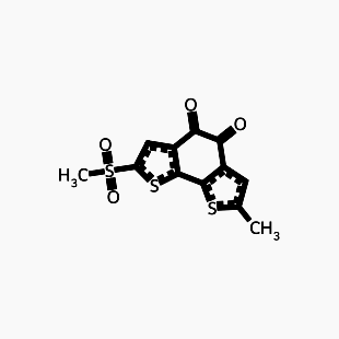 Cc1cc2c(s1)-c1sc(S(C)(=O)=O)cc1C(=O)C2=O